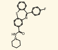 O=C(NN1CCCCC1)c1ccc2c(c1)N=C(c1ccc(F)cc1)c1ccccc1S2